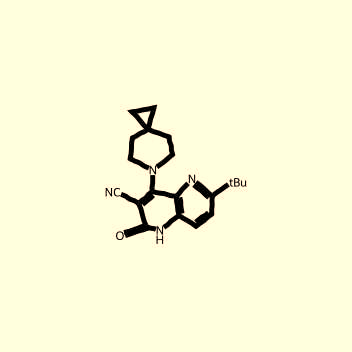 CC(C)(C)c1ccc2[nH]c(=O)c(C#N)c(N3CCC4(CC3)CC4)c2n1